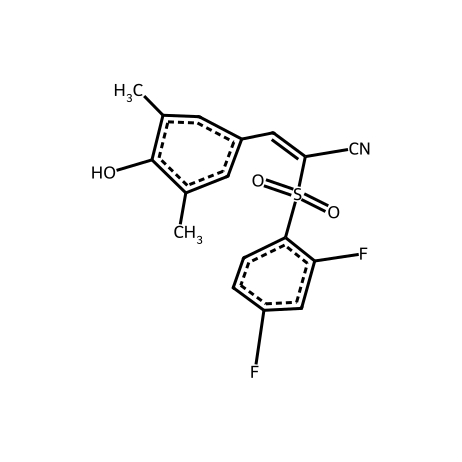 Cc1cc(C=C(C#N)S(=O)(=O)c2ccc(F)cc2F)cc(C)c1O